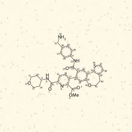 COC(=O)c1nc(C(=O)NC2CCOCC2)ccc1-c1cc2c(cc1C(=O)Nc1ccc(CN)cc1)-c1sccc1CCO2